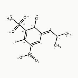 CN(C)C=C1C=C([N+](=O)[O-])C(F)=C(S(N)(=O)=O)C1Cl